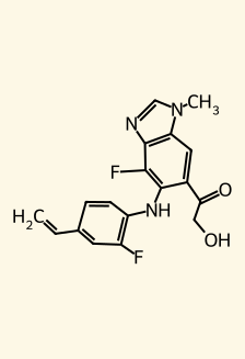 C=Cc1ccc(Nc2c(C(=O)CO)cc3c(ncn3C)c2F)c(F)c1